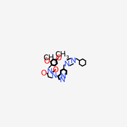 COc1ccc(CN2C(=O)CCN(c3cnn4ccc(CN5CCN(CC6CCCCC6)CC5)cc34)C2=O)c(OC)c1